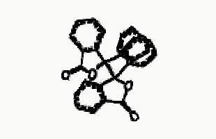 O=C1OC(c2ccccc2)(C2(c3ccccc3)OC(=O)c3ccccc32)c2ccccc21